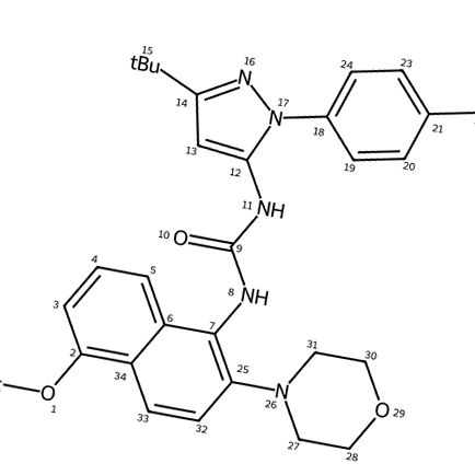 CCOc1cccc2c(NC(=O)Nc3cc(C(C)(C)C)nn3-c3ccc(C)cc3)c(N3CCOCC3)ccc12